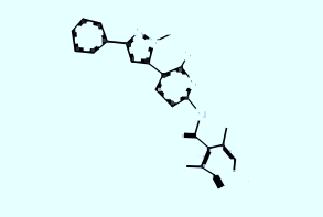 C#C/C(F)=C(C(=O)Nc1ccc(-c2cc(-c3ccccc3)nn2C)c(N)n1)\C(F)=C/C